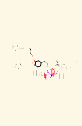 COCCCOc1cc(C[C@@H](C[C@H]2[C@H](C[C@H](C(=O)O)C(C)C)OC(C)(C=C=O)N2OC(C)(C)C)C(C)C)ccc1OC